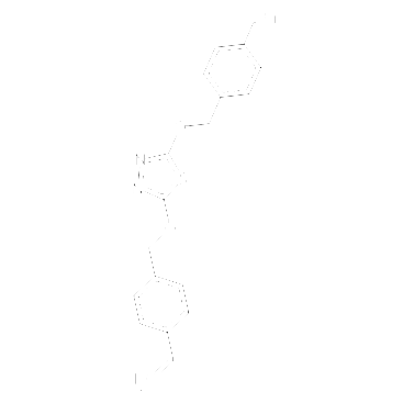 C=Cc1ccc(COc2nnc(OCc3ccc(C(C)CC)cc3)s2)cc1